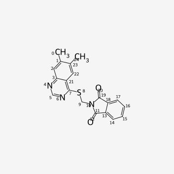 Cc1cc2ncnc(SCN3C(=O)c4ccccc4C3=O)c2cc1C